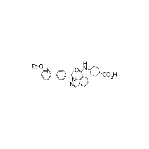 CCOc1cccc(-c2ccc(C(C)n3ncc4cccc(C(=O)NC5CCC(C(=O)O)CC5)c43)cc2)n1